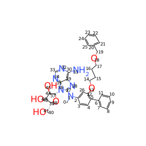 CN(c1ccc(-c2ccccc2)c(OCCCCOCc2ccccc2)c1)c1nc2c(N)ncnc2n1[C@@H]1O[C@H](CO)[C@@H](O)[C@H]1O